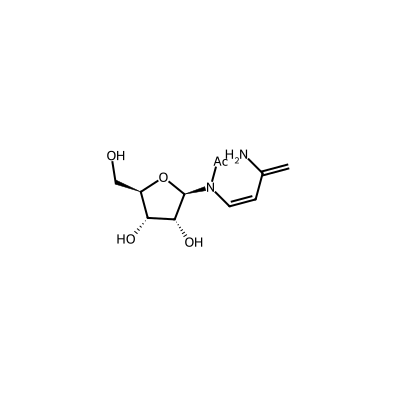 C=C(N)/C=C\N(C(C)=O)[C@@H]1O[C@H](CO)[C@@H](O)[C@H]1O